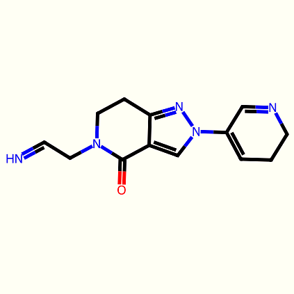 N=CCN1CCc2nn(C3=CCCN=C3)cc2C1=O